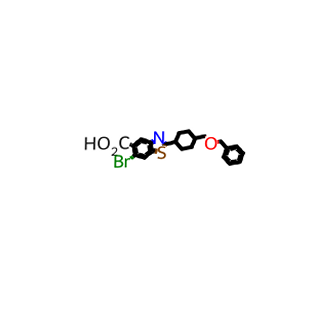 O=C(O)c1cc2nc(C3CCC(COCc4ccccc4)CC3)sc2cc1Br